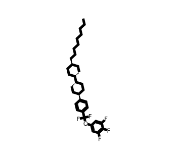 CCCCCCCCC[C@H]1CC[C@H]([C@H]2CC[C@H](c3ccc(C(F)(F)Oc4cc(F)c(F)c(F)c4)cc3)CC2)CC1